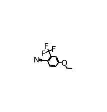 CCOc1ccc(C#N)c(C(F)(F)F)c1